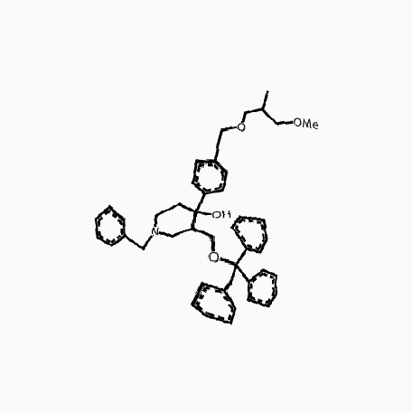 COCC(C)COCc1ccc(C2(O)CCN(Cc3ccccc3)CC2COC(c2ccccc2)(c2ccccc2)c2ccccc2)cc1